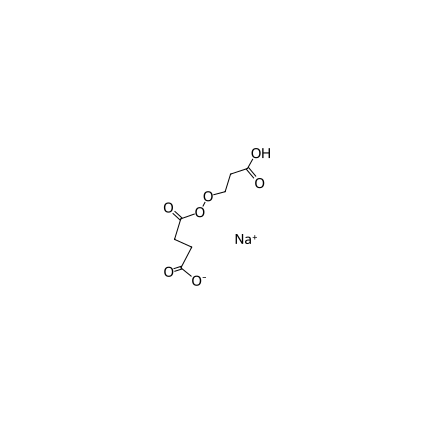 O=C([O-])CCC(=O)OOCCC(=O)O.[Na+]